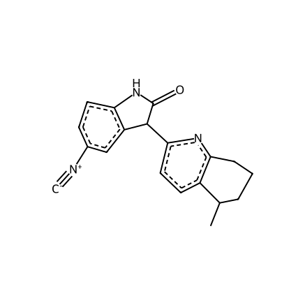 [C-]#[N+]c1ccc2c(c1)C(c1ccc3c(n1)CCCC3C)C(=O)N2